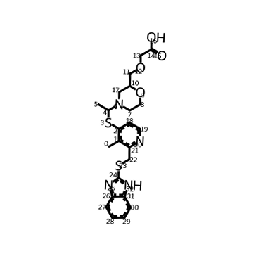 Cc1c(SC(C)N2CCOC(COCC(=O)O)C2)ccnc1CSc1nc2ccccc2[nH]1